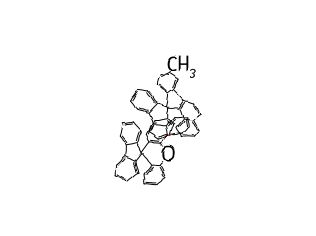 Cc1ccc2c(c1)-c1ccc3ccccc3c1C2(c1ccccc1)c1ccccc1-c1cc2c(c3ccccc13)Oc1ccccc1C21c2ccccc2-c2ccccc21